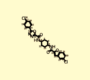 O=C(NC1CCC(NC(=O)c2nnc(-c3ccc(Cl)cc3)o2)CC1)c1cc2cc(Cl)ccc2o1